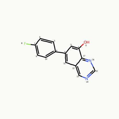 Oc1cc(-c2ccc(F)cc2)cc2cncnc12